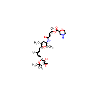 CC(C=C[C@H]1OC(C)(C)C[C@@]2(CO2)[C@@H]1O)=CC[C@@H]1O[C@H](C)[C@H](NC(=O)C=C[C@H](C)OC(=O)C2CNCCO2)C[C@@H]1C